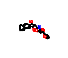 O=C1C(=Cc2nc3oc(-c4ccco4)cc3o2)C(=O)c2cc3ccccc3cc21